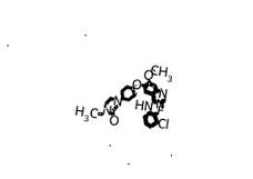 CCN1CCN([C@H]2CC[C@@H](Oc3cc4c(Nc5cccc(Cl)c5F)ncnc4cc3OC)CC2)CC1=O